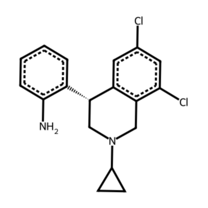 Nc1ccccc1[C@H]1CN(C2CC2)Cc2c(Cl)cc(Cl)cc21